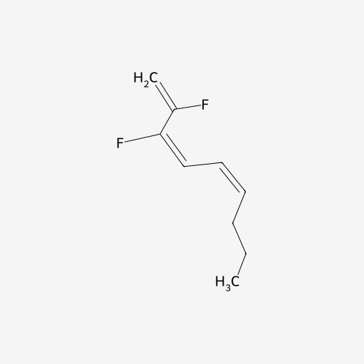 C=C(F)/C(F)=C\C=C/CCC